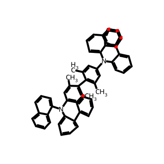 Cc1cc(N(c2ccccc2-c2ccccc2)c2cccc3ccccc23)cc(C)c1-c1c(C)cc(N(c2ccccc2-c2ccccc2)c2cccc3ccccc23)cc1C